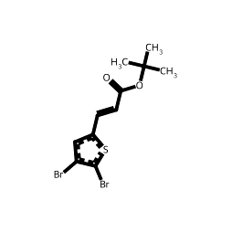 CC(C)(C)OC(=O)/C=C/c1cc(Br)c(Br)s1